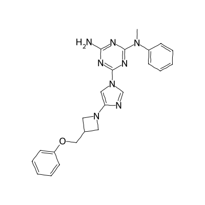 CN(c1ccccc1)c1nc(N)nc(-n2cnc(N3CC(COc4ccccc4)C3)c2)n1